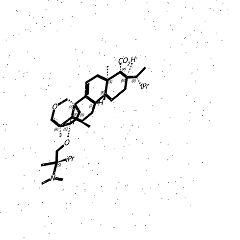 CC(C)[C@@H](C)[C@@]1(C)CC[C@]2(C)[C@H]3CC[C@@H]4[C@@]5(COC[C@]4(C)[C@@H](OC[C@](C)(C(C)C)N(C)C)[C@H](C)C5)C3=CC[C@@]2(C)[C@@H]1C(=O)O